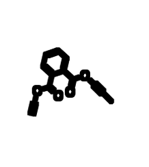 C#COC(=O)c1ccccc1C(=O)OC#CC